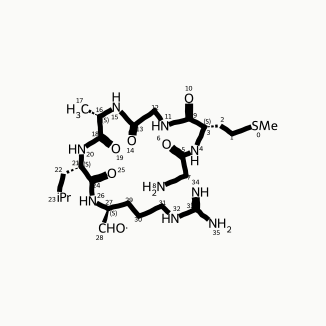 CSCC[C@H](NC(=O)CN)C(=O)NCC(=O)N[C@@H](C)C(=O)N[C@@H](CC(C)C)C(=O)N[C@H]([C]=O)CCCNC(=N)N